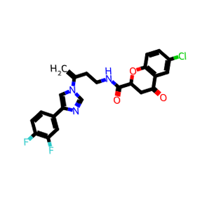 C=C(CCNC(=O)C1CC(=O)c2cc(Cl)ccc2O1)n1cnc(-c2ccc(F)c(F)c2)c1